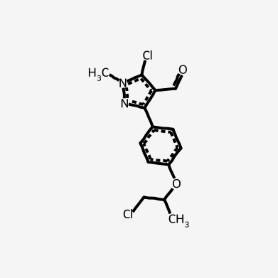 CC(CCl)Oc1ccc(-c2nn(C)c(Cl)c2C=O)cc1